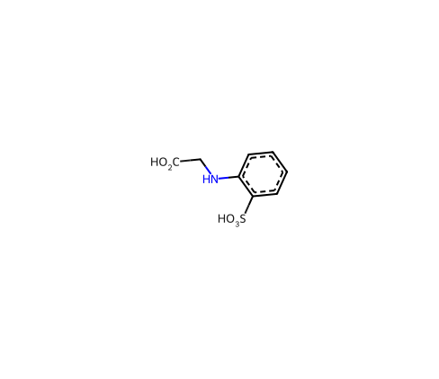 O=C(O)CNc1ccccc1S(=O)(=O)O